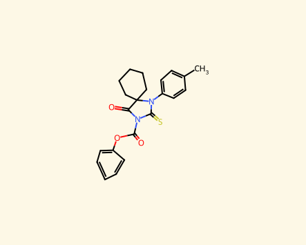 Cc1ccc(N2C(=S)N(C(=O)Oc3ccccc3)C(=O)C23CCCCC3)cc1